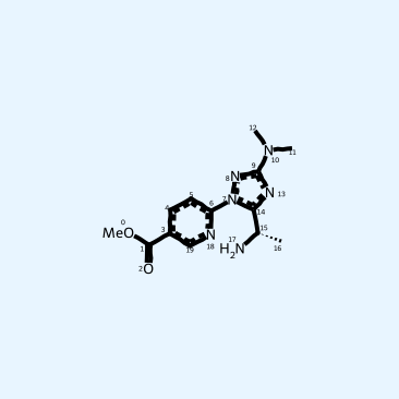 COC(=O)c1ccc(-n2nc(N(C)C)nc2[C@H](C)N)nc1